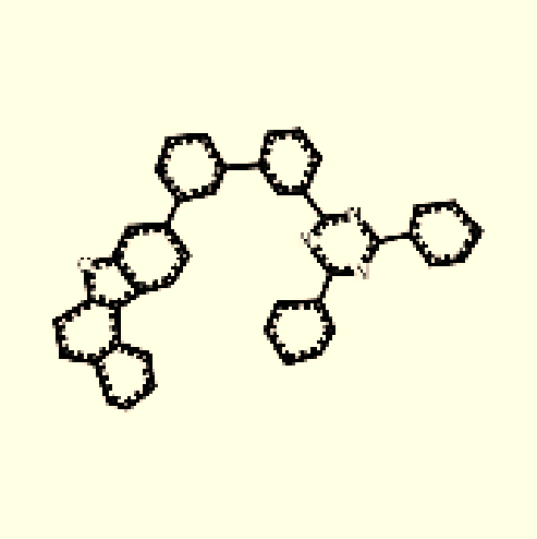 c1ccc(-c2nc(-c3ccccc3)nc(-c3cccc(-c4cccc(-c5ccc6c(c5)oc5ccc7ccccc7c56)c4)c3)n2)cc1